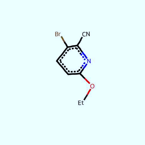 CCOc1ccc(Br)c(C#N)n1